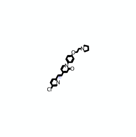 O=c1cc(/C=C/c2ccc(Cl)cn2)ccn1-c1ccc(OCCN2CCCC2)cc1